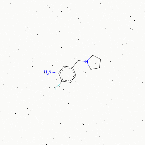 Nc1cc(CN2CCCC2)ccc1F